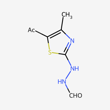 CC(=O)c1sc(NNC=O)nc1C